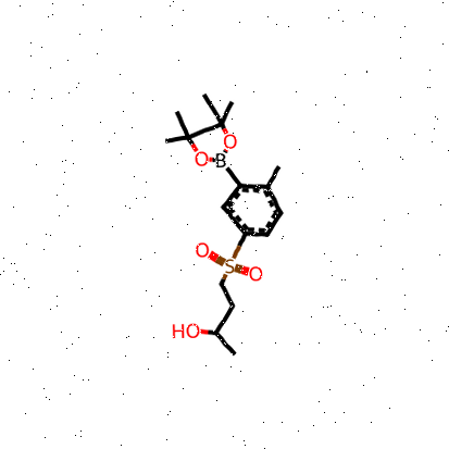 Cc1ccc(S(=O)(=O)CCC(C)O)cc1B1OC(C)(C)C(C)(C)O1